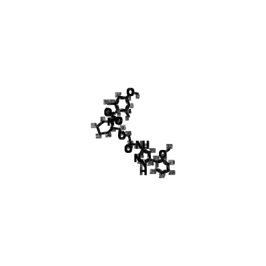 COc1cc(C)c(S(=O)(=O)N2CCCCC2COCC(=O)Nc2cc(-c3ccccc3OC)[nH]n2)c(C)c1